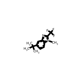 Cn1c(C(F)(F)F)nc2cc(C(C)(C)C)ccc21